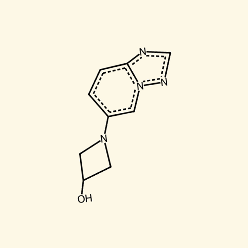 OC1CN(c2ccc3ncnn3c2)C1